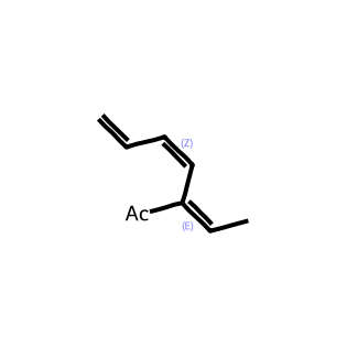 C=C/C=C\C(=C/C)C(C)=O